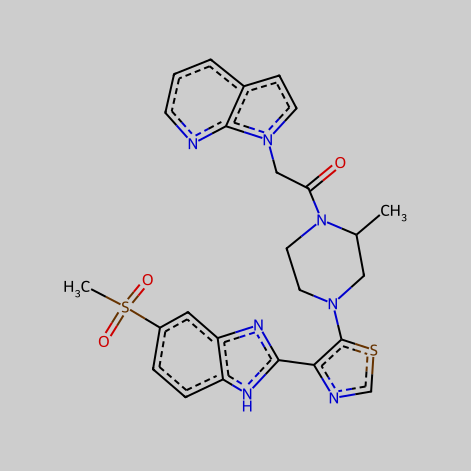 CC1CN(c2scnc2-c2nc3cc(S(C)(=O)=O)ccc3[nH]2)CCN1C(=O)Cn1ccc2cccnc21